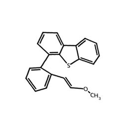 COC=Cc1ccccc1-c1cccc2c1sc1ccccc12